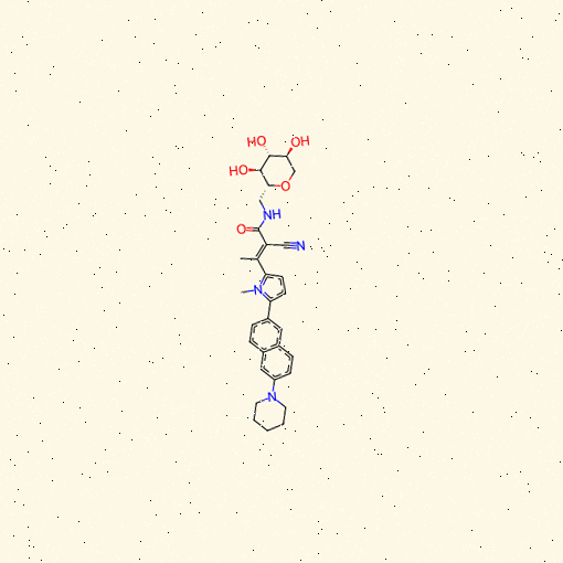 C/C(=C(/C#N)C(=O)NC[C@H]1OC[C@H](O)[C@@H](O)[C@@H]1O)c1ccc(-c2ccc3cc(N4CCCCC4)ccc3c2)n1C